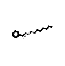 CCCCCCCCOC[C@H](C)c1ccccc1